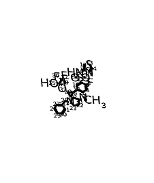 CN(c1cc(F)c(S(=O)(=O)Nc2cscn2)cc1C1CC1)C1CCN(Cc2ccccc2)C1.O=C(O)C(F)(F)F